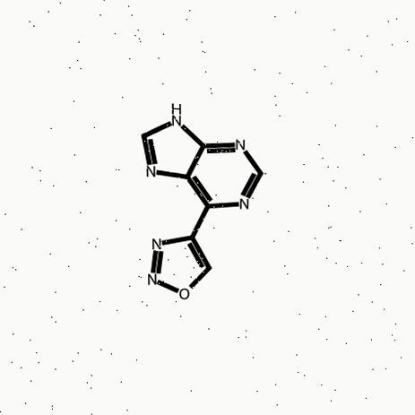 [c]1nc(-c2conn2)c2nc[nH]c2n1